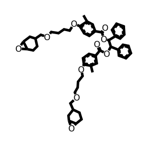 Cc1cc(C(=O)OC(c2ccccc2)C(OC(=O)c2ccc(OCCCCOCC3CCC4OC4C3)c(C)c2)c2ccccc2)ccc1OCCCCOCC1CCC2OC2C1